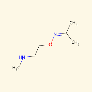 CNCCON=C(C)C